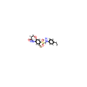 CCc1ccc(NCS(=O)(=O)c2cc3c(cc2Br)NC(=O)CCO3)cc1